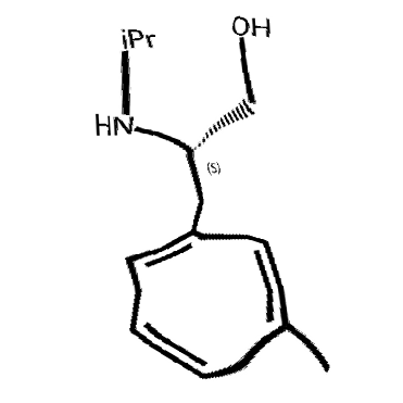 Cc1cccc([C@@H](CO)NC(C)C)c1